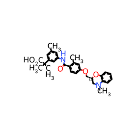 Cc1cc(NC(=O)c2ccc(OC[C@@H]3CN(C)c4ccccc4O3)cc2C)cc(C(C)(C)C(=O)O)c1